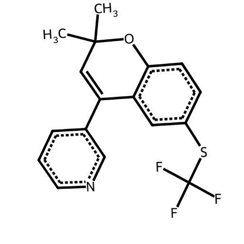 CC1(C)C=C(c2cccnc2)c2cc(SC(F)(F)F)ccc2O1